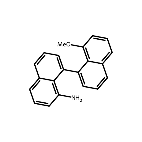 COc1cccc2cccc(-c3cccc4cccc(N)c34)c12